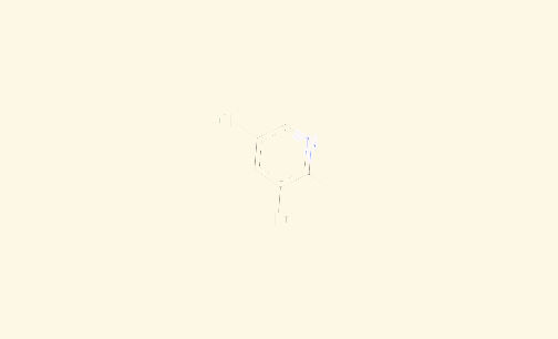 C[CH]c1cc(Cl)cnc1F